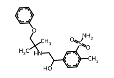 Cc1ccc(C(O)CNC(C)(C)COc2ccccc2)cc1S(N)(=O)=O